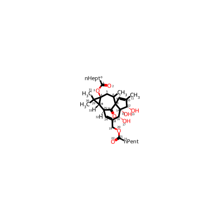 CCCCCCCC(=O)O[C@@]12CC(C)C34C=C(C)[C@H](O)[C@@]3(O)[C@H](O)C(COC(=O)CCCCC)=C[C@H](C4=O)[C@@H]1C2(C)C